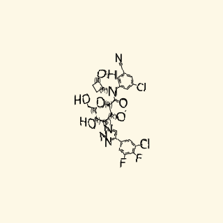 CO[C@@H]1[C@@H](n2cc(-c3cc(F)c(F)c(Cl)c3)nn2)[C@@H](O)[C@@H](CO)O[C@H]1C(=O)N(c1cc(Cl)cc(C#N)c1)[C@@H]1CC[C@H]1O